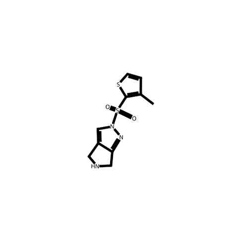 Cc1ccsc1S(=O)(=O)n1cc2c(n1)CNC2